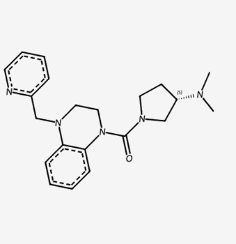 CN(C)[C@H]1CCN(C(=O)N2CCN(Cc3ccccn3)c3ccccc32)C1